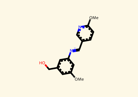 COc1cc(CO)cc(/N=C/c2ccc(OC)nc2)c1